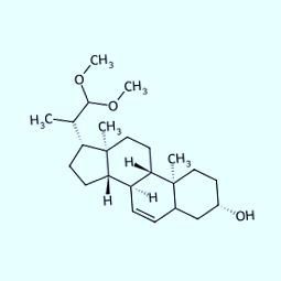 COC(OC)C(C)[C@H]1CC[C@H]2[C@@H]3C=CC4C[C@@H](O)CC[C@]4(C)[C@H]3CC[C@]12C